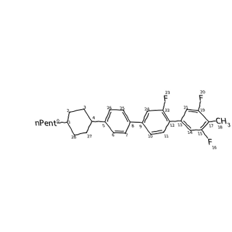 CCCCCC1CCC(c2ccc(-c3ccc(-c4cc(F)c(C)c(F)c4)c(F)c3)cc2)CC1